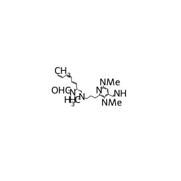 C\C=C/C=C\C=C\[C@@H](CN(C)CCCc1nc(NC)cc(C=N)c1NC)NC=O